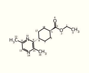 CCOC(=O)[C@H]1CC[C@H](c2nc(C)cnc2C)CC1